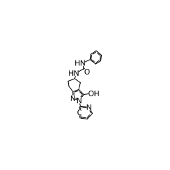 O=C(Nc1ccccc1)NC1CCc2nn(-c3ccccn3)c(O)c2C1